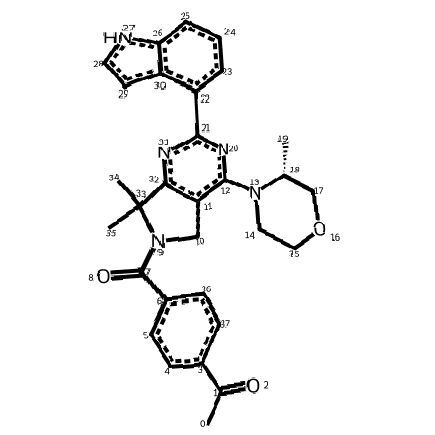 CC(=O)c1ccc(C(=O)N2Cc3c(N4CCOC[C@H]4C)nc(-c4cccc5[nH]ccc45)nc3C2(C)C)cc1